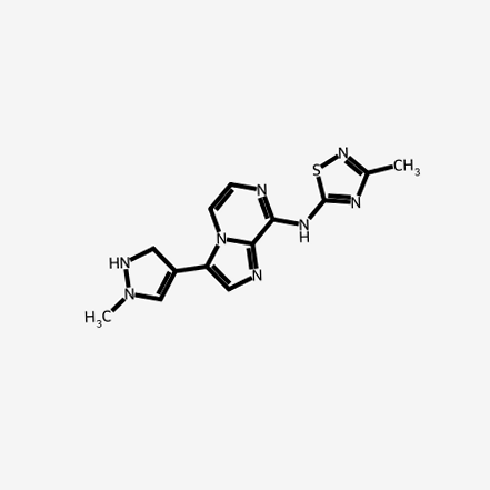 Cc1nsc(Nc2nccn3c(C4=CN(C)NC4)cnc23)n1